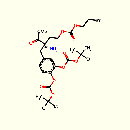 CCC(C)(C)OC(=O)Oc1ccc(C[C@](N)(CCOC(=O)OCCC(C)C)C(=O)OC)cc1OC(=O)OC(C)(C)CC